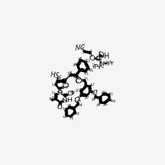 CC(C)N(C(C)C)P(O)OCCC#N.Cc1cn([C@H]2C[C@H](S)[C@@H](CC(OCc3cc(OCc4ccccc4)cc(OCc4ccccc4)c3)c3ccccc3)O2)c(=O)[nH]c1=O